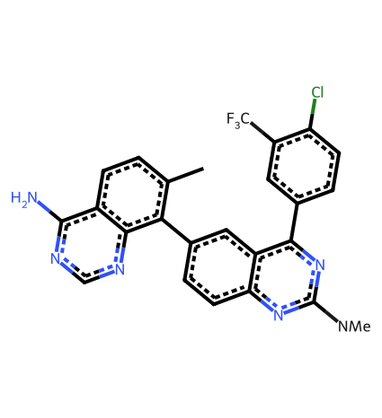 CNc1nc(-c2ccc(Cl)c(C(F)(F)F)c2)c2cc(-c3c(C)ccc4c(N)ncnc34)ccc2n1